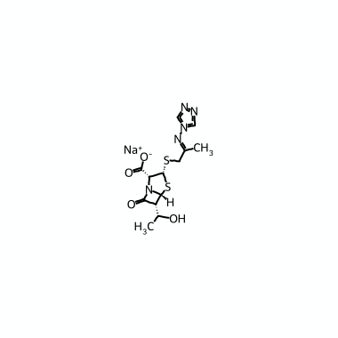 CC(CS[C@@H]1S[C@@H]2[C@H](C(C)O)C(=O)N2[C@@H]1C(=O)[O-])=Nn1cnnc1.[Na+]